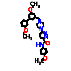 CCOc1cccc(-c2cc(CN3CCN(c4ccc(C(=O)Nc5ccc(OC)cc5)nn4)CC3)cc(OCC)c2)c1